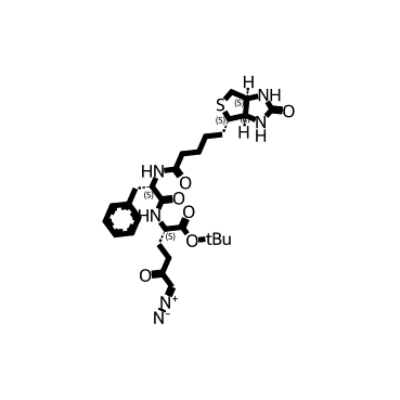 CC(C)(C)OC(=O)[C@H](CCC(=O)C=[N+]=[N-])NC(=O)[C@H](Cc1ccccc1)NC(=O)CCCC[C@@H]1SC[C@H]2NC(=O)N[C@@H]12